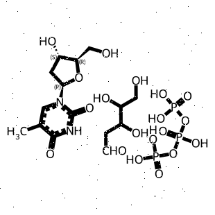 Cc1cn([C@H]2C[C@H](O)[C@@H](CO)O2)c(=O)[nH]c1=O.O=CCC(O)C(O)CO.O=P(O)(O)OP(=O)(O)OP(=O)(O)O